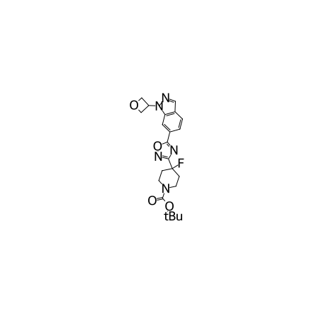 CC(C)(C)OC(=O)N1CCC(F)(c2noc(-c3ccc4cnn(C5COC5)c4c3)n2)CC1